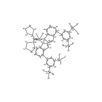 C[Si](C)(C)c1cc(-c2cccc3c2C=C[CH]3[Hf]([CH3])([CH3])([CH]2C=Cc3c(-c4cc([Si](C)(C)C)cc([Si](C)(C)C)c4)cccc32)=[Si](C2CCCC2)C2CCCC2)cc([Si](C)(C)C)c1